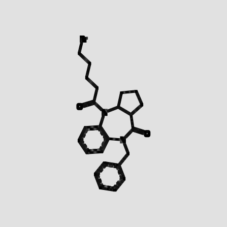 O=C1C2CCCC2N(C(=O)CCCCBr)c2ccccc2N1Cc1ccccc1